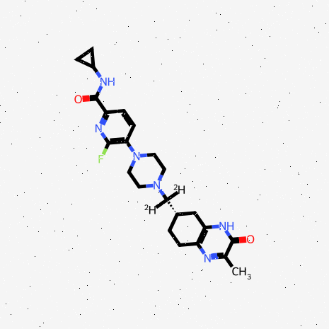 [2H]C([2H])([C@H]1CCc2nc(C)c(=O)[nH]c2C1)N1CCN(c2ccc(C(=O)NC3CC3)nc2F)CC1